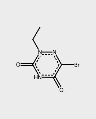 CCn1nc(Br)c(=O)[nH]c1=O